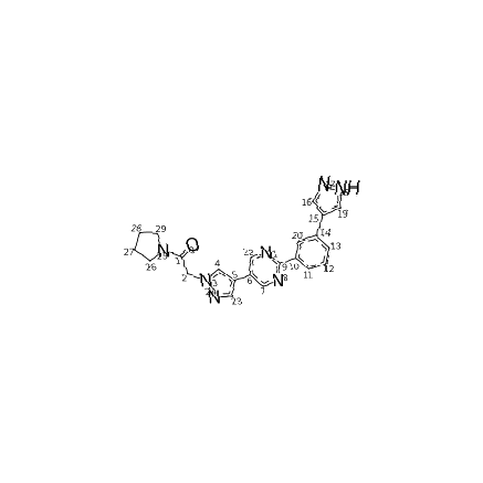 O=C(Cn1cc(-c2cnc(-c3cccc(-c4cn[nH]c4)c3)nc2)cn1)N1CCCC1